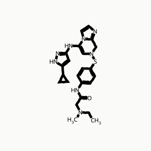 CCN(C)CC(=O)Nc1ccc(SN2C=C(Nc3cc(C4CC4)[nH]n3)[N+]3C=CN=C3C2)cc1